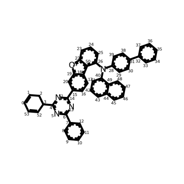 C1=CCC(c2nc(-c3ccccc3)nc(-c3ccc4c(c3)oc3cccc(N(c5ccc(-c6ccccc6)cc5)c5cccc6ccccc56)c34)n2)C=C1